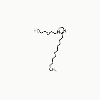 CCCCCCCCCCCC1=NCCN1CCOCCO